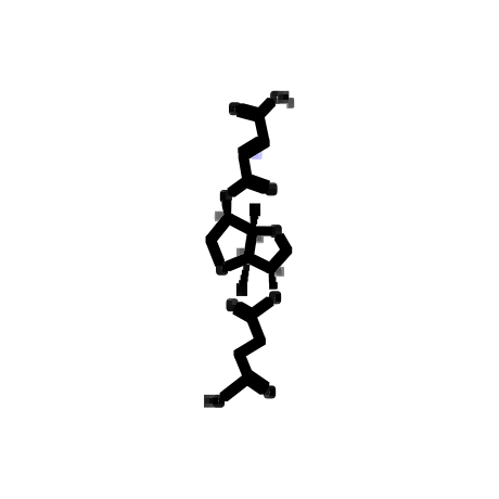 CC(=O)/C=C/C(=O)O[C@@H]1CO[C@H]2[C@@H]1OC[C@@H]2OC(=O)CCC(=O)O